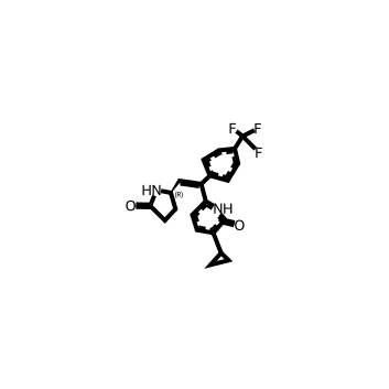 O=C1CC[C@H](C=C(c2ccc(C(F)(F)F)cc2)c2ccc(C3CC3)c(=O)[nH]2)N1